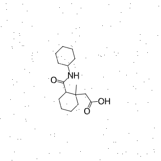 CC1(CC(=O)O)CCCCC1C(=O)NC1CCCCC1